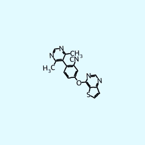 Cc1ncnc(C)c1-c1ccc(Oc2ncnc3ccsc23)cc1C#N